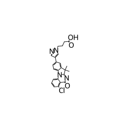 CC1(C)c2cc(-c3cnn(CCCC(=O)O)c3)ccc2-n2c1nc(=O)c1c(Cl)cccc12